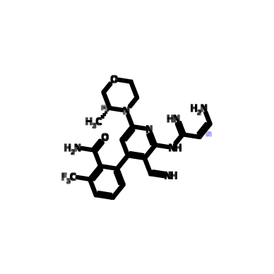 C[C@@H]1COCCN1c1cc(-c2cccc(C(F)(F)F)c2C(N)=O)c(C=N)c(NC(=N)/C=C\N)n1